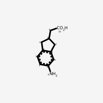 Nc1ccc2c(c1)CC(CC(=O)O)C2